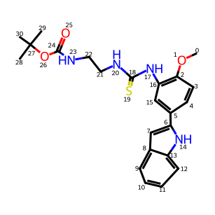 COc1ccc(-c2cc3ccccc3[nH]2)cc1NC(=S)NCCNC(=O)OC(C)(C)C